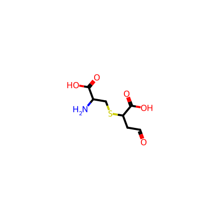 NC(CSC(CC=O)C(=O)O)C(=O)O